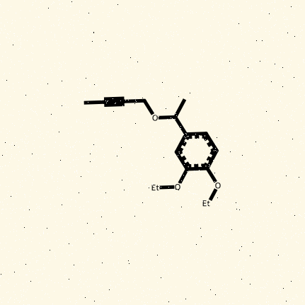 CC#CCOC(C)c1ccc(OCC)c(OCC)c1